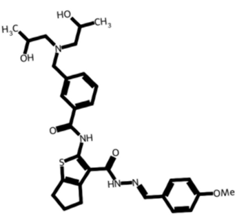 COc1ccc(/C=N/NC(=O)c2c(NC(=O)c3cccc(CN(CC(C)O)CC(C)O)c3)sc3c2CCC3)cc1